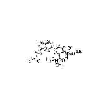 CN(C)C(=O)c1cc(-c2cnc3[nH]cc(/C=C/C(N)=O)c3c2)ccc1NC(=O)OC(C)(C)C